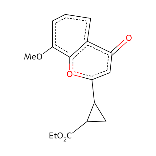 CCOC(=O)C1CC1c1cc(=O)c2cccc(OC)c2o1